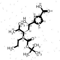 CCCN(C(=O)OC(C)(C)C)[C@@H](C[C@H](O)c1nc(C(=O)O)cs1)C(C)C